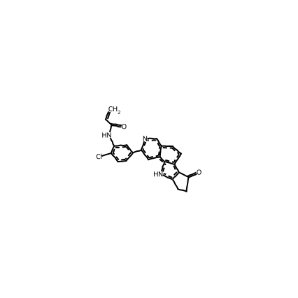 C=CC(=O)Nc1cc(-c2cc3c(ccc4c5c([nH]c43)CCC5=O)cn2)ccc1Cl